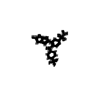 CNS(=O)(=O)c1ccc(NC2CCC(C(F)(F)F)CC2)c(-c2cn3c(n2)O[C@H](C)C3)c1